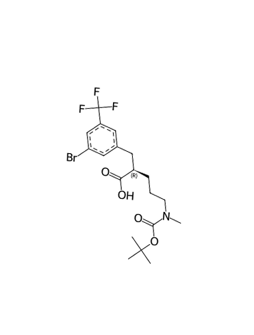 CN(CCC[C@H](Cc1cc(Br)cc(C(F)(F)F)c1)C(=O)O)C(=O)OC(C)(C)C